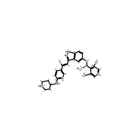 C[C@@H](Oc1ccc2[nH]nc(/C=C(\F)c3ccc(NC4CCNCC4)nc3)c2c1)c1c(Cl)cncc1Cl